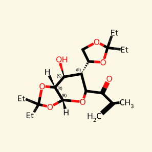 C=C(C)C(=O)C1O[C@@H]2OC(CC)(CC)O[C@@H]2[C@@H](O)[C@@H]1C1COC(CC)(CC)O1